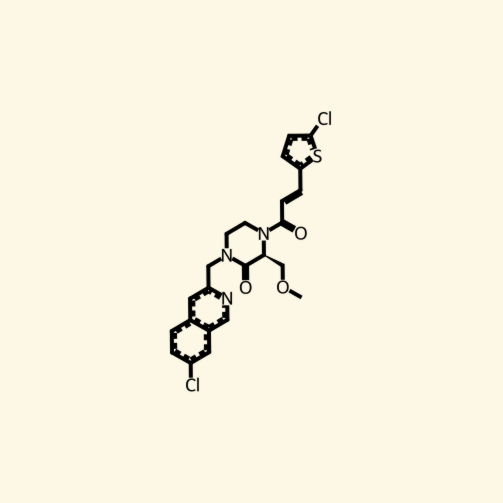 COC[C@H]1C(=O)N(Cc2cc3ccc(Cl)cc3cn2)CCN1C(=O)C=Cc1ccc(Cl)s1